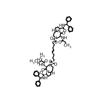 CCC(=O)N[C@H]1CN(S(=O)(=O)CCC/C=C/CCCS(=O)(=O)N2CC[C@H]3CC[C@@H](C(=O)NC(c4ccccc4)c4ccccc4)N3C(=O)[C@@H](NC(=O)[C@H](C)NC)C2)CC[C@H]2CCC(C(=O)NC(c3ccccc3)c3ccccc3)N2C1=O